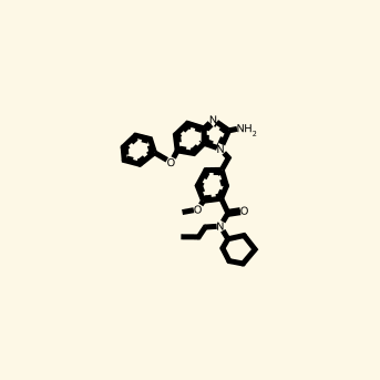 CCCN(C(=O)c1cc(Cn2c(N)nc3ccc(Oc4ccccc4)cc32)ccc1OC)C1CCCCC1